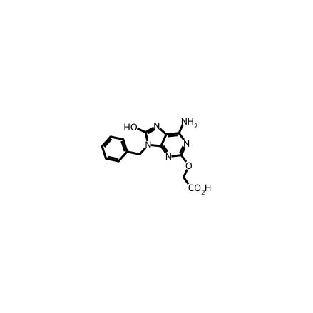 Nc1nc(OCC(=O)O)nc2c1nc(O)n2Cc1ccccc1